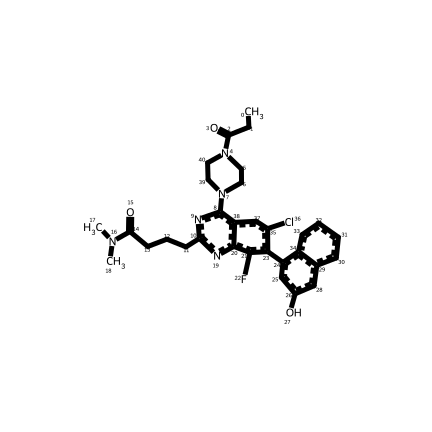 CCC(=O)N1CCN(c2nc(CCCC(=O)N(C)C)nc3c(F)c(-c4cc(O)cc5ccccc45)c(Cl)cc23)CC1